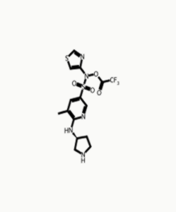 Cc1cc(S(=O)(=O)N(OC(=O)C(F)(F)F)c2cscn2)cnc1N[C@H]1CCNC1